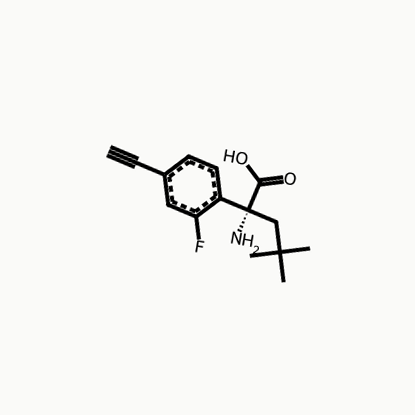 C#Cc1ccc([C@](N)(CC(C)(C)C)C(=O)O)c(F)c1